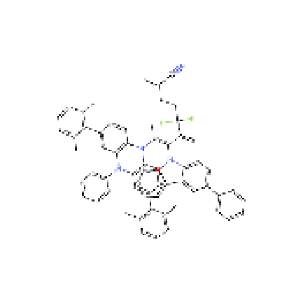 C=C(/C(=C(\C)N1c2ccc(-c3c(C)cccc3C)cc2N(c2ccccc2)c2cc(-c3c(C)cccc3C)ccc21)n1c2ccccc2c2cc(-c3ccccc3)ccc21)C(F)(F)CCC(C)C#N